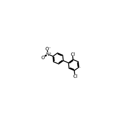 O=[N+]([O-])c1ccc(-c2cc(Cl)[c]cc2Cl)cc1